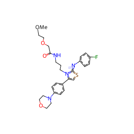 COCCOCC(=O)NCCCn1c(-c2ccc(N3CCOCC3)cc2)cs/c1=N\c1ccc(F)cc1